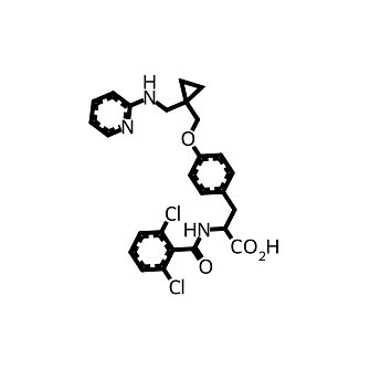 O=C(NC(Cc1ccc(OCC2(CNc3ccccn3)CC2)cc1)C(=O)O)c1c(Cl)cccc1Cl